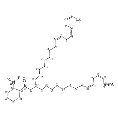 CC/C=C\C/C=C\C/C=C\CCCCCCCCC(CCCCCCCC/C=C\C/C=C\CCCCC)CC(=O)C1CCCCC1N(C)C